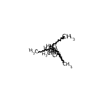 CCCCCCCCCC(NC)OP(=O)(OC(CCCCCCCCC)NC)OC(CCCCCCCCC)NC